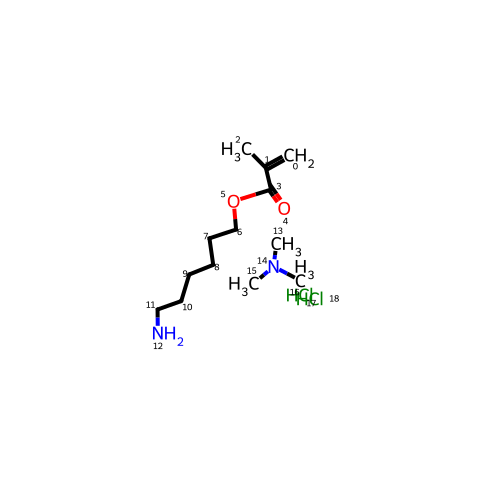 C=C(C)C(=O)OCCCCCCN.CN(C)C.Cl.Cl